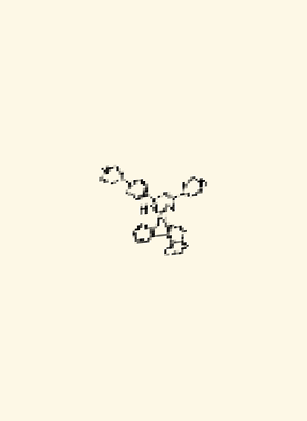 C1=C(c2ccncc2)N=C(n2c3ccccc3c3c4occc4ccc32)NC1c1ccc(-c2ccncc2)cc1